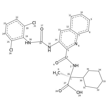 C[C@@](NC(=O)c1nc2ccccc2cc1NC(=O)Nc1c(Cl)cccc1Cl)(C(=O)O)C1CCCCC1